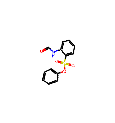 O=CNc1ccccc1S(=O)(=O)Oc1ccccc1